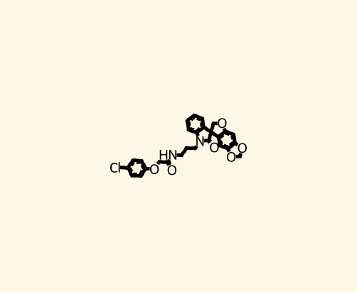 O=C(COc1ccc(Cl)cc1)NCCCN1C(=O)C2(COc3cc4c(cc32)OCO4)c2ccccc21